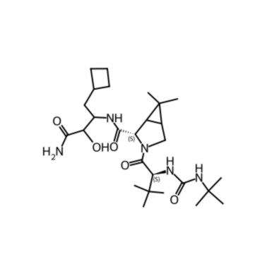 CC(C)(C)NC(=O)N[C@H](C(=O)N1CC2C([C@H]1C(=O)NC(CC1CCC1)C(O)C(N)=O)C2(C)C)C(C)(C)C